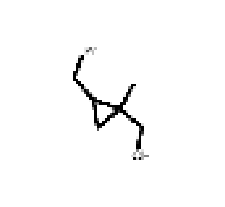 CC(C)CC1CC1(C)CO